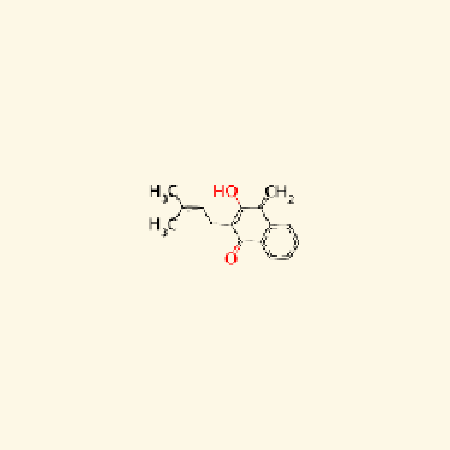 C=C1C(O)=C(CC=C(C)C)C(=O)c2ccccc21